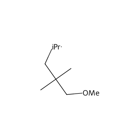 COCC(C)(C)C[C](C)C